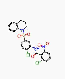 O=C(Nc1cc(S(=O)(=O)N2CCCc3ccccc32)ccc1Cl)c1c(Cl)cccc1[N+](=O)[O-]